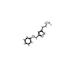 CCCc1cc(COc2cc[c]cc2)on1